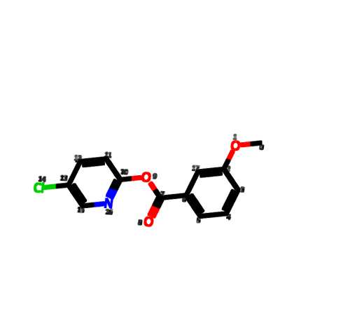 COc1cccc(C(=O)Oc2c[c]c(Cl)cn2)c1